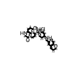 Cl.Cl.O=C1CNc2ccc(=O)n3c2N1CC[C@H]3CN1CCC(NCc2cc3c(cn2)OCCC3)CC1